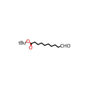 CC(C)(C)OC(=O)CCCCCCCCC=O